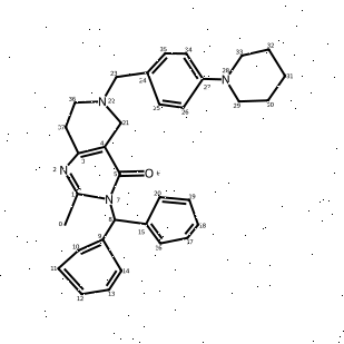 Cc1nc2c(c(=O)n1C(c1ccccc1)c1ccccc1)CN(Cc1ccc(N3CCCCC3)cc1)CC2